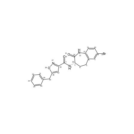 O=C(N[C@H]1CCc2cc(Br)ccc2NC1=O)c1cc(Cc2ccccc2)on1